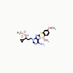 COc1ccc(OC)c(Sc2nc3c(N)ncn(CCC(NS(C)(=O)=O)C4CC4)c-3n2)c1